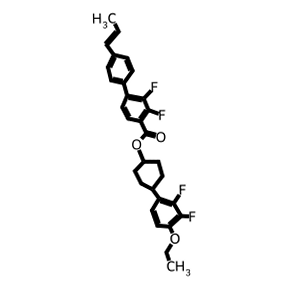 C/C=C/c1ccc(-c2ccc(C(=O)OC3CCC(c4ccc(OCC)c(F)c4F)CC3)c(F)c2F)cc1